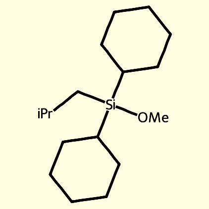 CO[Si](CC(C)C)(C1CCCCC1)C1CCCCC1